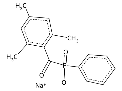 Cc1cc(C)c(C(=O)P(=O)([O-])c2ccccc2)c(C)c1.[Na+]